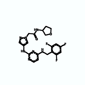 O=C(Cn1cc(Nc2nccc(NCc3c(F)cc(F)cc3F)n2)cn1)NC1CCOC1